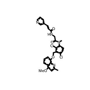 COc1cc(C)nc2c(OCc3c(Cl)ccc(N(C)C(=O)CNC(=O)C=Cc4cccnc4)c3Cl)cccc12